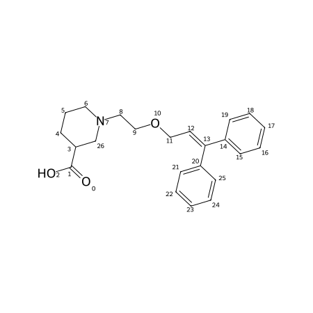 O=C(O)C1CCCN(CCOCC=C(c2ccccc2)c2ccccc2)C1